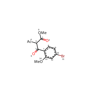 COC(=O)C(C(C)=O)C(=O)c1ccc(Br)cc1OC